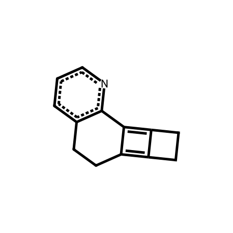 c1cnc2c(c1)CCC1=C3CCC3=C12